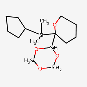 C[Si](C)(C1CCCC1)C1([SiH]2O[SiH2]O[SiH2]O2)CCCCO1